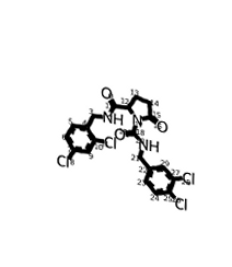 O=C(NCc1ccc(Cl)cc1Cl)C1CCC(=O)N1C(=O)NCc1ccc(Cl)c(Cl)c1